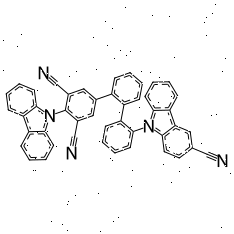 N#Cc1ccc2c(c1)c1ccccc1n2-c1ccccc1-c1ccccc1-c1cc(C#N)c(-n2c3ccccc3c3ccccc32)c(C#N)c1